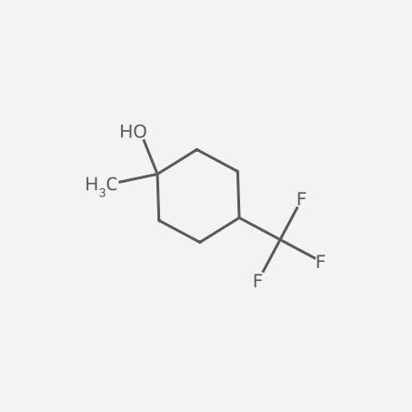 CC1(O)CCC(C(F)(F)F)CC1